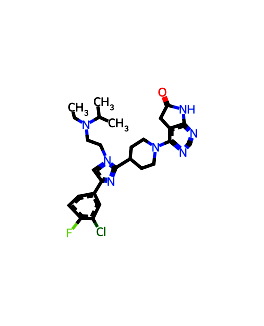 CCN(CCn1cc(-c2ccc(F)c(Cl)c2)nc1C1CCN(c2ncnc3c2CC(=O)N3)CC1)C(C)C